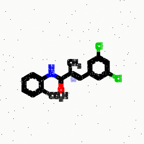 C/C(=C\c1cc(Cl)cc(Cl)c1)C(=O)Nc1ccccc1C(=O)O